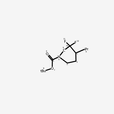 CC(C)C1CCN(C(=O)OC(C)(C)C)CC1(F)F